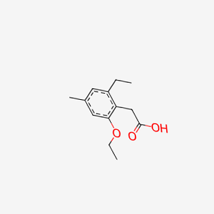 CCOc1cc(C)cc(CC)c1CC(=O)O